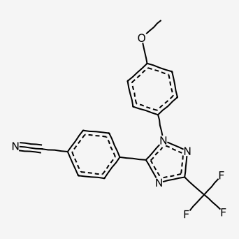 COc1ccc(-n2nc(C(F)(F)F)nc2-c2ccc(C#N)cc2)cc1